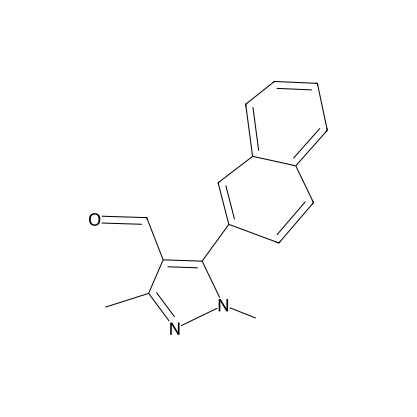 Cc1nn(C)c(-c2ccc3ccccc3c2)c1C=O